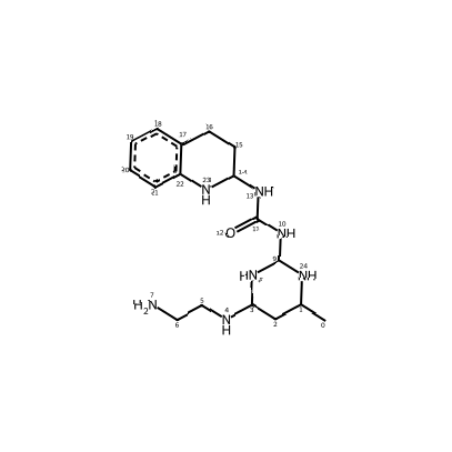 CC1CC(NCCN)NC(NC(=O)NC2CCc3ccccc3N2)N1